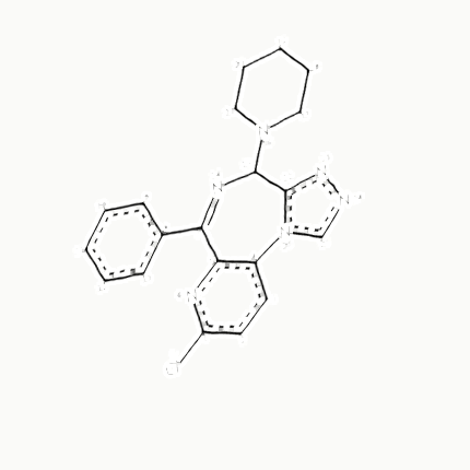 Clc1ccc2c(n1)C(c1ccccc1)=NC(N1CCCCC1)c1nncn1-2